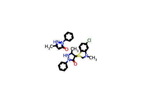 CC1NN(c2ccccc2)C(=O)C1=S1CN(C)c2cc(Cl)ccc21.Cc1cc(=O)n(-c2ccccc2)[nH]1